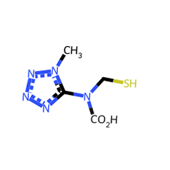 Cn1nnnc1N(CS)C(=O)O